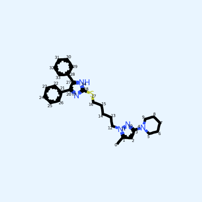 Cc1cc(N2CCCCC2)nn1CCCCCSc1nc(-c2ccccc2)c(-c2ccccc2)[nH]1